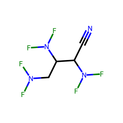 N#CC(C(CN(F)F)N(F)F)N(F)F